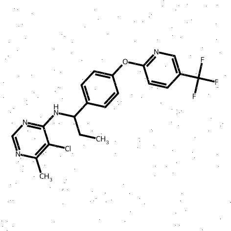 CCC(Nc1ncnc(C)c1Cl)c1ccc(Oc2ccc(C(F)(F)F)cn2)cc1